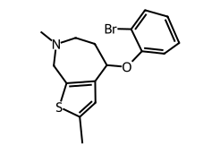 Cc1cc2c(s1)CN(C)CCC2Oc1ccccc1Br